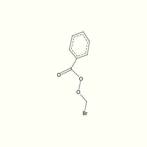 O=C(OOCBr)c1ccccc1